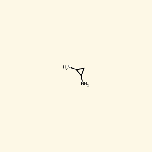 NC1C[C@@H]1N